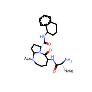 CN[C@@H](N)C(=O)N[C@H]1CCCN(C(C)=O)C2CC[C@H](C(=O)NC3CCCc4ccccc43)N2C1=O